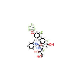 O=C(N[C@](Cc1ccccc1)(c1ccc(F)cc1)c1cc(F)cc(OC(F)(F)C(F)(F)F)c1)N[C@@](F)(CCCO)[C@@H](O)CO